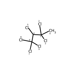 CC(Cl)(Cl)C(Cl)C(Cl)(Cl)Cl